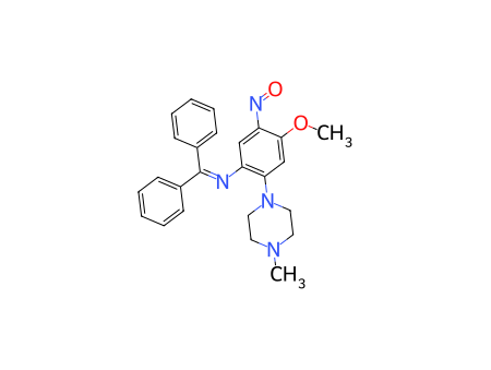 COc1cc(N2CCN(C)CC2)c(N=C(c2ccccc2)c2ccccc2)cc1N=O